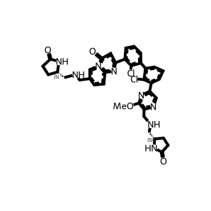 COc1nc(-c2cccc(-c3cccc(-c4cc(=O)n5cc(CNC[C@@H]6CCC(=O)N6)ccc5n4)c3Cl)c2Cl)cnc1CNC[C@@H]1CCC(=O)N1